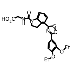 CCOc1ccc(C2=NC(c3cccc4c3CCN4C(=O)NCC(=O)O)SO2)cc1OCC